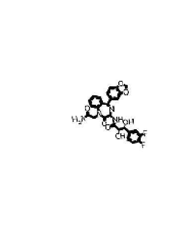 C[C@H](C(=O)NC1N=C(c2ccc3c(c2)OCO3)c2ccccc2N(CC(N)=O)C1=O)[C@H](O)c1ccc(F)c(F)c1